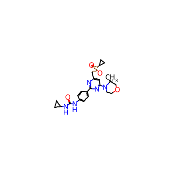 C[C@H]1COCCN1c1cc(CS(=O)(=O)C2CC2)nc(-c2ccc(NC(=O)NC3CC3)cc2)n1